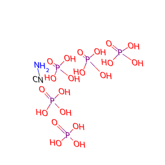 N#CN.O=P(O)(O)O.O=P(O)(O)O.O=P(O)(O)O.O=P(O)(O)O.O=P(O)(O)O